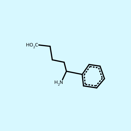 NC(CCCC(=O)O)c1ccccc1